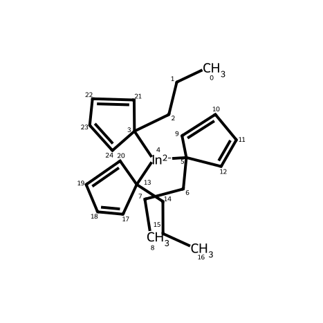 CCC[C]1([In-2]([C]2(CCC)C=CC=C2)[C]2(CCC)C=CC=C2)C=CC=C1